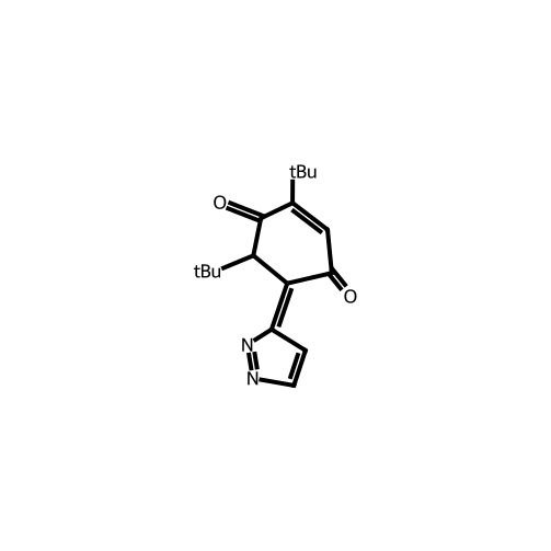 CC(C)(C)C1=CC(=O)C(=C2C=CN=N2)C(C(C)(C)C)C1=O